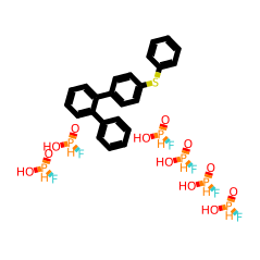 O=[PH](O)F.O=[PH](O)F.O=[PH](O)F.O=[PH](O)F.O=[PH](O)F.O=[PH](O)F.c1ccc(Sc2ccc(-c3ccccc3-c3ccccc3)cc2)cc1